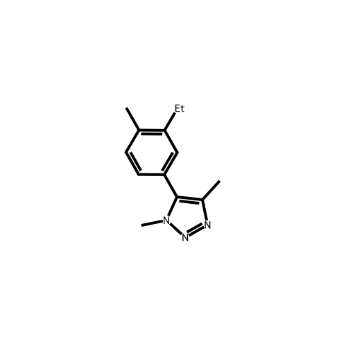 CCc1cc(-c2c(C)nnn2C)ccc1C